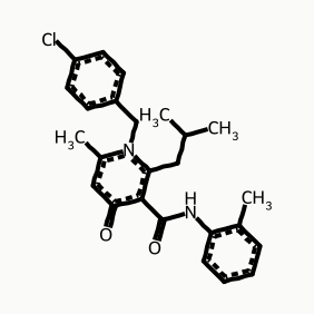 Cc1ccccc1NC(=O)c1c(CC(C)C)n(Cc2ccc(Cl)cc2)c(C)cc1=O